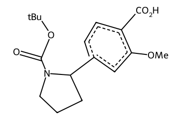 COc1cc(C2CCCN2C(=O)OC(C)(C)C)ccc1C(=O)O